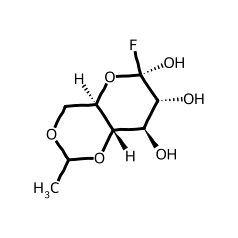 CC1OC[C@H]2O[C@@](O)(F)[C@H](O)[C@@H](O)[C@@H]2O1